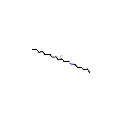 CCCCCCCCCCCCNCCCCCC.Cl